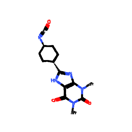 CCCn1c(=O)c2[nH]c([C@H]3CC[C@H](N=C=O)CC3)nc2n(CCC)c1=O